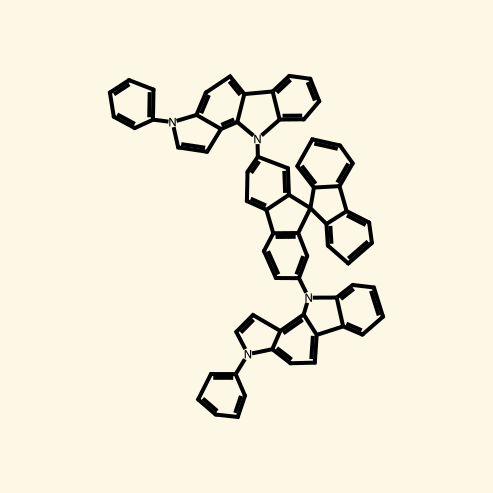 c1ccc(-n2ccc3c2ccc2c4ccccc4n(-c4ccc5c(c4)C4(c6ccccc6-c6ccccc64)c4cc(-n6c7ccccc7c7ccc8c(ccn8-c8ccccc8)c76)ccc4-5)c23)cc1